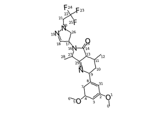 COC1=CC(OC)CC(C2CC(C)C3C(=O)N(C4C=NN(CC(F)(F)F)C4)C(C)C3=N2)=C1